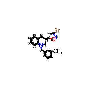 FC(F)(F)c1cccc(CN2C[C@H]([C@@H]3CC(Br)=NO3)Cc3ccccc32)c1